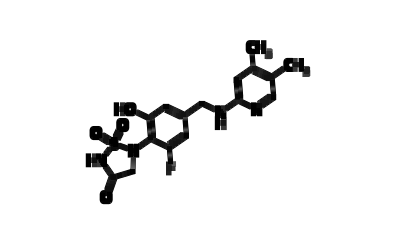 Cc1cnc(NCc2cc(O)c(N3CC(=O)NS3(=O)=O)c(F)c2)cc1C